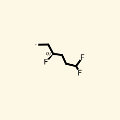 [CH2]C[C@H](F)CCC(F)F